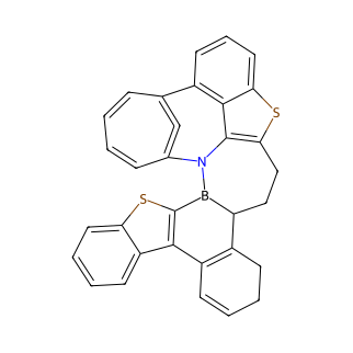 C1=C2C=CC=CC=1N1B3c4sc5ccccc5c4C4=C(CCC=C4)C3CCc3sc4cccc2c4c31